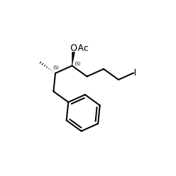 CC(=O)O[C@@H](CCCI)[C@@H](C)Cc1ccccc1